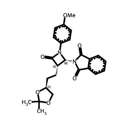 COc1ccc(N2C(=O)[C@@H](CC[C@H]3COC(C)(C)O3)[C@H]2N2C(=O)c3ccccc3C2=O)cc1